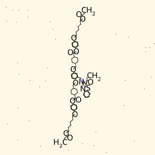 C=CC(=O)OCCCCCCOc1ccc(OC(=O)C2CCC(COc3ccc(OCC4CCC(C(=O)Oc5ccc(OCCCCCCOC(=O)C=C)cc5)CC4)c(/C=N/N(C(=O)C=C)c4nc5ccccc5s4)c3)CC2)cc1